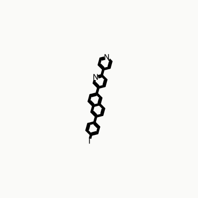 Ic1ccc(-c2ccc3cc(-c4ccc(-c5ccncc5)nc4)ccc3c2)cc1